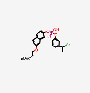 CCCCCCCCCCCCOc1ccc2ccc(OP(=O)(O)Oc3cccc(C(C)Br)c3)cc2c1